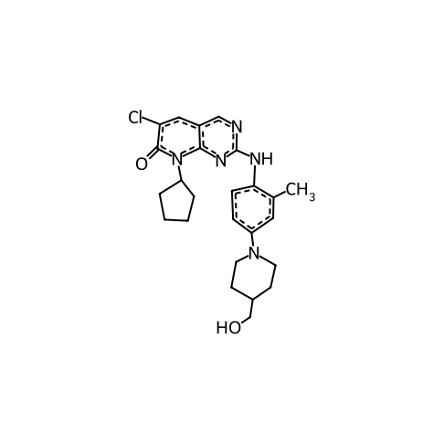 Cc1cc(N2CCC(CO)CC2)ccc1Nc1ncc2cc(Cl)c(=O)n(C3CCCC3)c2n1